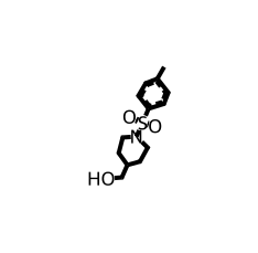 Cc1ccc(S(=O)(=O)N2CCC(CO)CC2)cc1